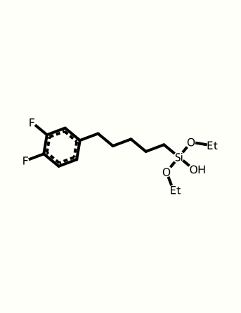 CCO[Si](O)(CCCCCc1ccc(F)c(F)c1)OCC